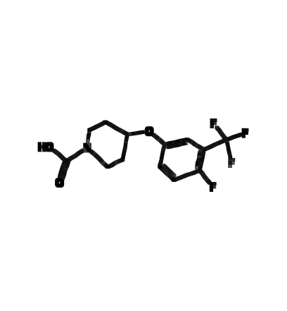 O=C(O)N1CCC(Oc2ccc(F)c(C(F)(F)F)c2)CC1